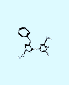 Nc1nc(Cl)cc(-c2nn(C(F)(F)F)cc2Cc2ccccc2)n1